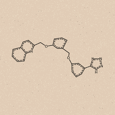 c1cc(COc2cccc(-c3nnn[nH]3)c2)cc(OCc2ccc3ccccc3n2)c1